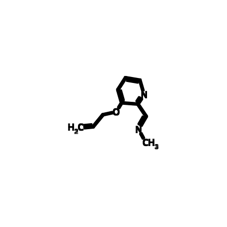 C=CCOc1cccnc1/C=N/C